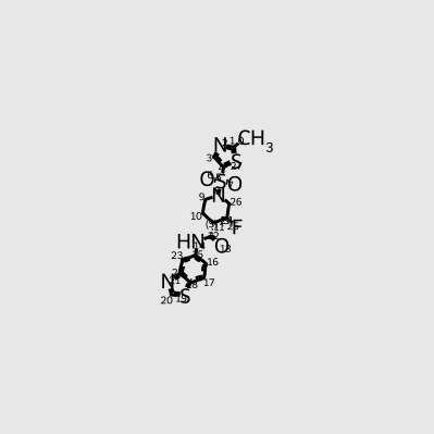 Cc1ncc(S(=O)(=O)N2CC[C@@H](C(=O)Nc3ccc4scnc4c3)[C@H](F)C2)s1